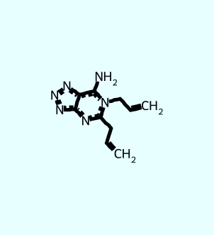 C=CCc1nc2nnnc-2c(N)n1CC=C